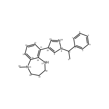 CC(c1ccccc1)n1cc(-c2cccc3c2NCCCN3C)cn1